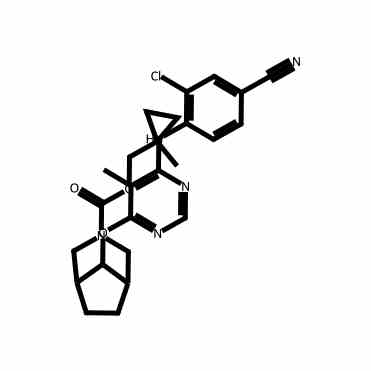 Cc1c(Nc2ccc(C#N)cc2Cl)ncnc1OC1C2CCC1CN(C(=O)OCC1(C)CC1)C2